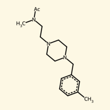 CC(=O)N(C)CCN1CCN(Cc2cccc(C)c2)CC1